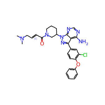 CN(C)C/C=C/C(=O)N1CCCC(n2nc(-c3ccc(Oc4ccccc4)c(Cl)c3)c3c(N)ncnc32)C1